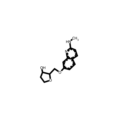 CNc1ccc2ccc(OCC3OCCC3O)cc2n1